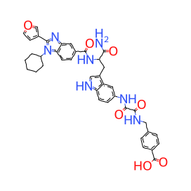 NC(=O)C(Cc1c[nH]c2ccc(NC(=O)C(=O)NCc3ccc(C(=O)O)cc3)cc12)NC(=O)c1ccc2c(c1)nc(-c1ccoc1)n2C1CCCCC1